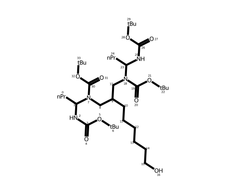 CCCC(NC(=O)OC(C)(C)C)N(CC(CCCCCCO)CN(C(=O)OC(C)(C)C)C(CCC)NC(=O)OC(C)(C)C)C(=O)OC(C)(C)C